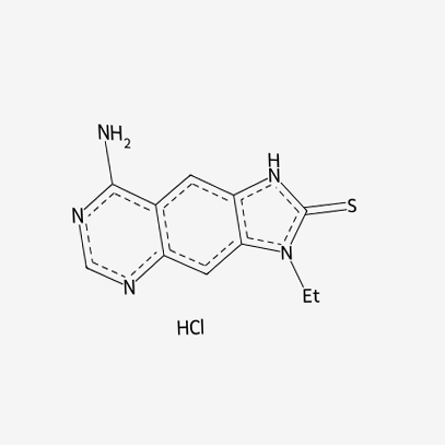 CCn1c(=S)[nH]c2cc3c(N)ncnc3cc21.Cl